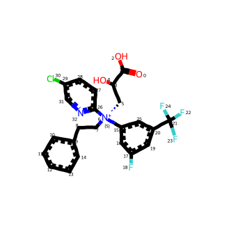 O=C(O)C(O)C[N@@+](CCc1ccccc1)(c1cc(F)cc(C(F)(F)F)c1)c1ccc(Cl)cn1